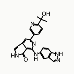 CC(C)(O)c1ccc(-c2cc3cc[nH]c(=O)c3c(Nc3ccc4[nH]ncc4c3)n2)cn1